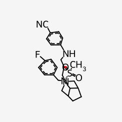 CS(=O)(=O)N(Cc1ccc(F)cc1)C1C2CCC1CN(CCCNc1ccc(C#N)cc1)C2